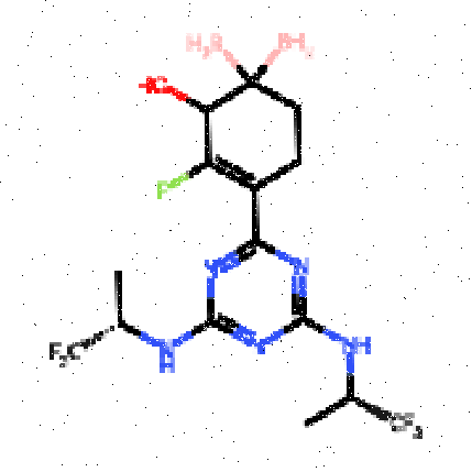 BC1(B)CCC(c2nc(N[C@@H](C)C(F)(F)F)nc(N[C@H](C)C(F)(F)F)n2)=C(F)C1O